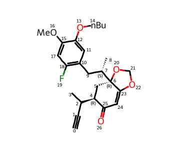 C#CC(C)[C@H]1C[C@]2([C@@H](C)Cc3cc(OCCCC)c(OC)cc3F)OCOC2=CC1=O